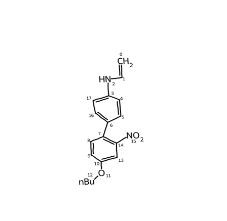 C=CNc1ccc(-c2ccc(OCCCC)cc2[N+](=O)[O-])cc1